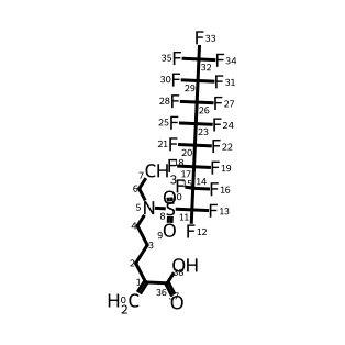 C=C(CCCN(CC)S(=O)(=O)C(F)(F)C(F)(F)C(F)(F)C(F)(F)C(F)(F)C(F)(F)C(F)(F)C(F)(F)F)C(=O)O